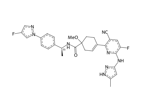 COC1(C(=O)N[C@@H](C)c2ccc(-n3cc(F)cn3)cc2)CC=C(c2nc(Nc3cc(C)[nH]n3)c(F)cc2C#N)CC1